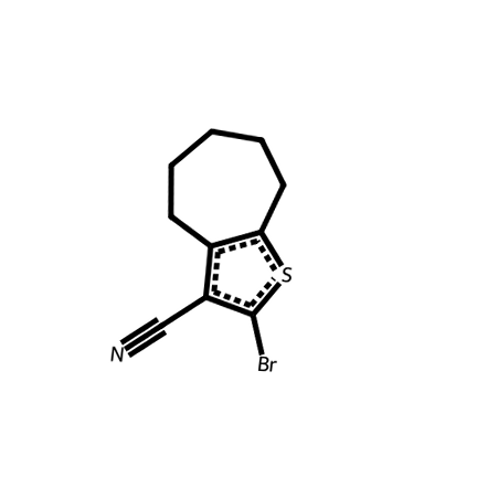 N#Cc1c(Br)sc2c1CCCCC2